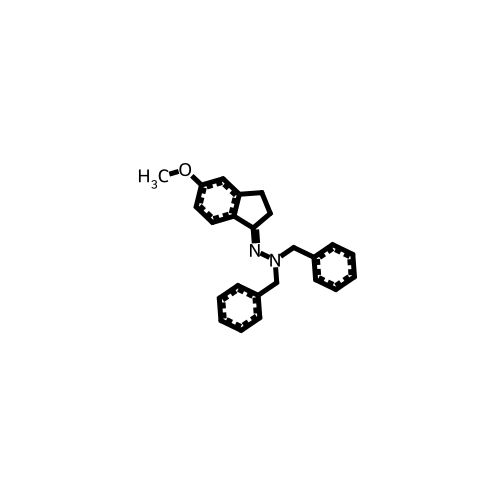 COc1ccc2c(c1)CC/C2=N\N(Cc1ccccc1)Cc1ccccc1